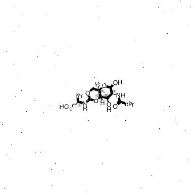 CCCC(=O)N[C@H]1C(O)O[C@@H]2COC(N[C@H](C(=O)O)C(C)C)O[C@H]2[C@@H]1O